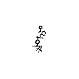 C=C(CC1COCCN1C(=O)C1CCCO1)C(=O)c1ccc(C(=N)NC(=O)C(F)(F)F)cc1